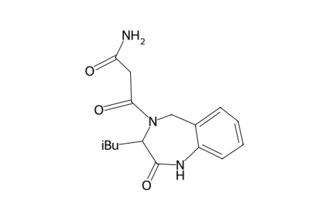 CCC(C)C1C(=O)Nc2ccccc2CN1C(=O)CC(N)=O